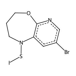 Brc1cnc2c(c1)N(SI)CCCO2